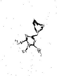 CCN1C(N)=NC(n2ccnc2)=NC1N